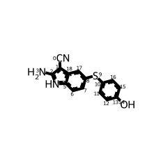 N#Cc1c(N)[nH]c2ccc(Sc3ccc(O)cc3)cc12